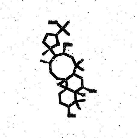 CO[C@H]1CC(C)(C)C2C[C@H](OC(C)=O)[C@H]3C(C)(C)[C@@H](OC(C)=O)CC[C@@]34C[C@@]24CC[C@H](C)[C@H]1[C@@]1(C)CC[C@@H](C(C)(C)OC)O1